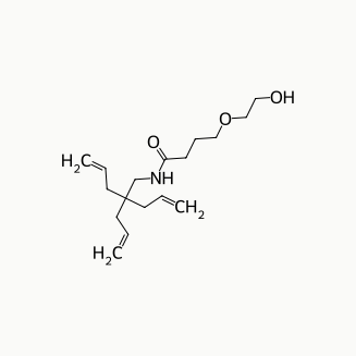 C=CCC(CC=C)(CC=C)CNC(=O)CCCOCCO